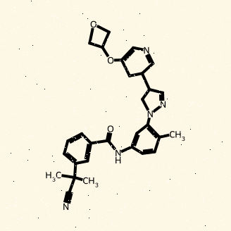 Cc1ccc(NC(=O)c2cccc(C(C)(C)C#N)c2)cc1N1CC(C2C=NC=C(OC3COC3)C2)C=N1